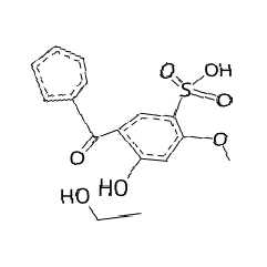 CCO.COc1cc(O)c(C(=O)c2ccccc2)cc1S(=O)(=O)O